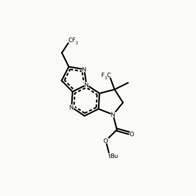 CC(C)(C)OC(=O)N1CC(C)(C(F)(F)F)c2c1cnc1cc(CC(F)(F)F)nn21